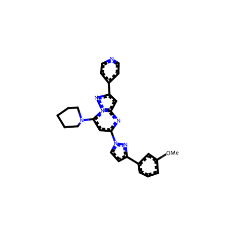 COc1cccc(-c2ccn(-c3cc(N4CCCCC4)n4nc(-c5ccncc5)cc4n3)n2)c1